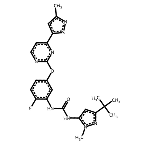 Cc1cc(-c2ccnc(Oc3ccc(F)c(NC(=O)Nc4cc(C(C)(C)C)nn4C)c3)n2)sn1